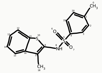 Cc1ccc(S(=O)(=O)Nc2sc3ccccc3c2C)cc1